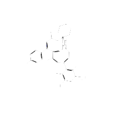 CCC1=C(C)C(C2=C/CN/C=C(C(=C/C(C)CC3(F)CCCCC3)\c3ccc(C)cc3)/C(C)=C\2)=C(C)C(CC)C1